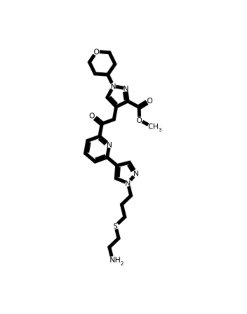 COC(=O)c1nn(C2CCOCC2)cc1CC(=O)c1cccc(-c2cnn(CCCSCCN)c2)n1